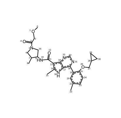 COCC(=O)N1CC(C)C(NC(=O)c2c(C)[nH]c3c(-c4cc(C)ccc4OCC4CC4)ncnc23)C1